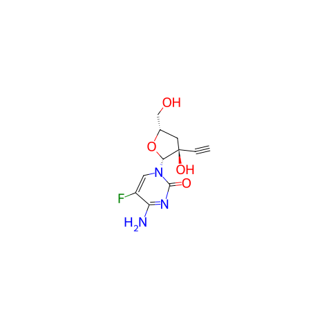 C#C[C@@]1(O)C[C@@H](CO)O[C@H]1n1cc(F)c(N)nc1=O